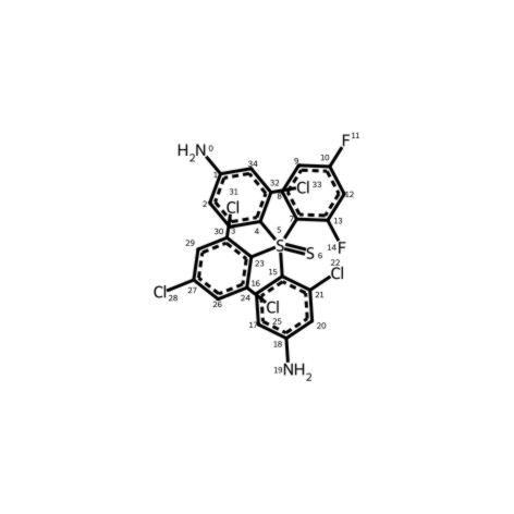 Nc1ccc(S(=S)(c2ccc(F)cc2F)(c2ccc(N)cc2Cl)c2c(Cl)cc(Cl)cc2Cl)c(Cl)c1